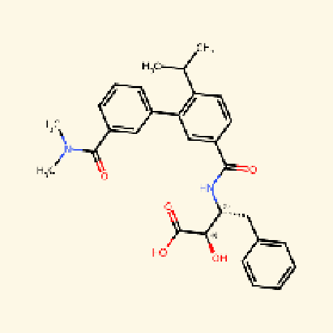 CC(C)c1ccc(C(=O)N[C@H](Cc2ccccc2)[C@@H](O)C(=O)O)cc1-c1cccc(C(=O)N(C)C)c1